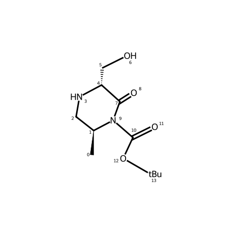 C[C@H]1CN[C@H](CO)C(=O)N1C(=O)OC(C)(C)C